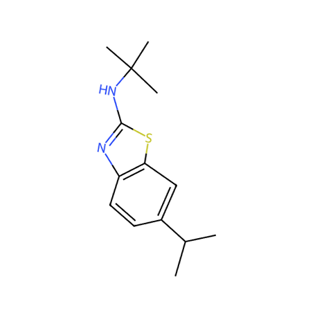 CC(C)c1ccc2nc(NC(C)(C)C)sc2c1